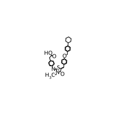 CCN1C(=O)C(=Cc2ccc(OCc3ccc(C4CCCCC4)cc3)cc2)SC1=Nc1ccc(CC(=O)O)cc1